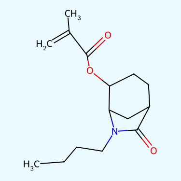 C=C(C)C(=O)OC1CCC2CC1N(CCCC)C2=O